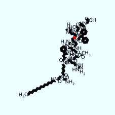 CCCCCCCCCCCCCCCCNC(=O)CN(CC(N)=O)C(=O)CCCCCNC(=O)C(Cc1c[nH]c2ccccc12)NC(=O)C(CCCNC(=N)N)NC(=O)C(COC(C)=O)NC(=O)C(CCCNC(=N)N)NC(=O)CC1CCCN1C(=O)C(NC(=O)C(Cc1c[nH]cn1)NC(=O)C(NC(=O)CNCC(=O)O)C(C)O)C(c1ccccc1)c1ccccc1